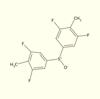 Cc1c(F)cc([S+]([O-])c2cc(F)c(C)c(F)c2)cc1F